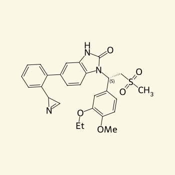 CCOc1cc([C@@H](CS(C)(=O)=O)n2c(=O)[nH]c3cc(-c4ccccc4C4C=N4)ccc32)ccc1OC